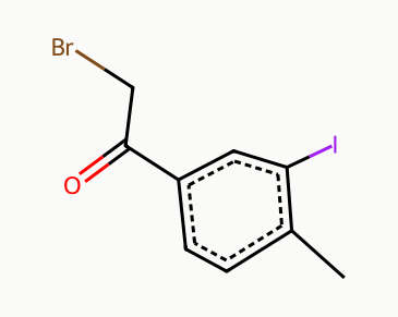 Cc1ccc(C(=O)CBr)cc1I